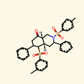 Cc1ccc(S(=O)(=O)N2C[C@H]3C(=O)CC(c4ccccc4)C(S(=O)(=O)c4cccc(C)c4)[C@H]3CC2c2ccccc2)cc1